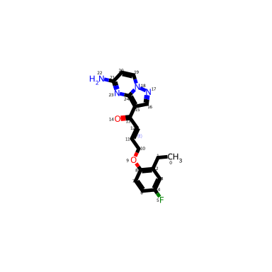 CCc1cc(F)ccc1OC/C=C/C(=O)c1cnn2ccc(N)nc12